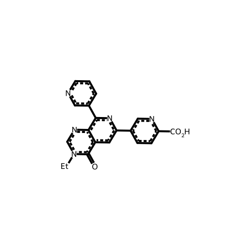 CCn1cnc2c(-c3cccnc3)nc(-c3ccc(C(=O)O)nc3)cc2c1=O